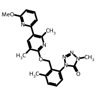 COc1cccc(-c2cc(C)c(OCc3c(C)cccc3-n3nnn(C)c3=O)nc2C)n1